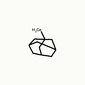 [GeH3][C]12CC3CC(CC(C3)C1)C2